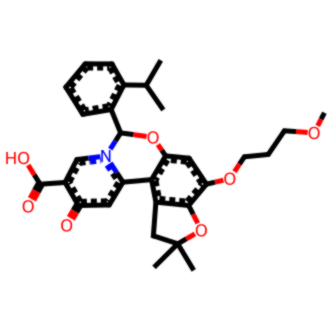 COCCCOc1cc2c(c3c1OC(C)(C)C3)-c1cc(=O)c(C(=O)O)cn1C(c1ccccc1C(C)C)O2